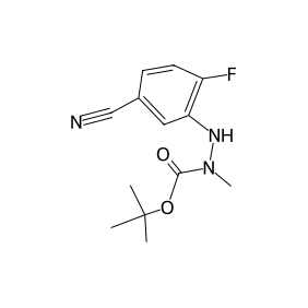 CN(Nc1cc(C#N)ccc1F)C(=O)OC(C)(C)C